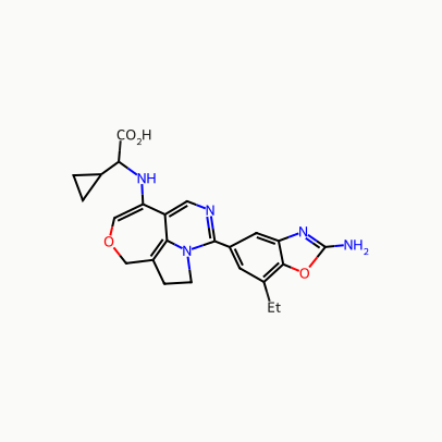 CCc1cc(C2=NC=C3C(NC(C(=O)O)C4CC4)=COCC4=C3N2CC4)cc2nc(N)oc12